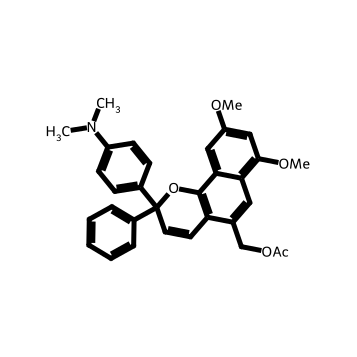 COc1cc(OC)c2cc(COC(C)=O)c3c(c2c1)OC(c1ccccc1)(c1ccc(N(C)C)cc1)C=C3